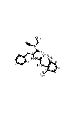 CCN(C#N)C(=O)C(Cc1ccccc1)NC(=O)Nc1c(C)cccc1C